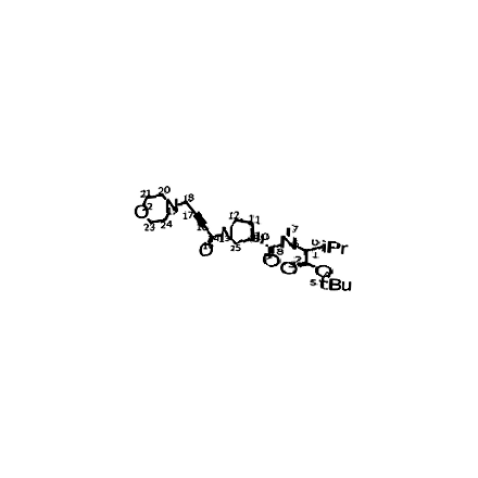 CC(C)C(C(=O)OC(C)(C)C)N(C)C(=O)[C@H]1CCN(C(=O)C#CCN2CCOCC2)C1